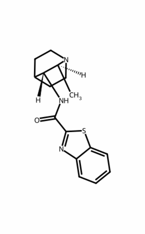 C[C@H]1[C@H](NC(=O)c2nc3ccccc3s2)C2CCN1CC2